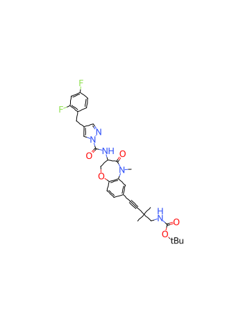 CN1C(=O)C(NC(=O)n2cc(Cc3ccc(F)cc3F)cn2)COc2ccc(C#CC(C)(C)CNC(=O)OC(C)(C)C)cc21